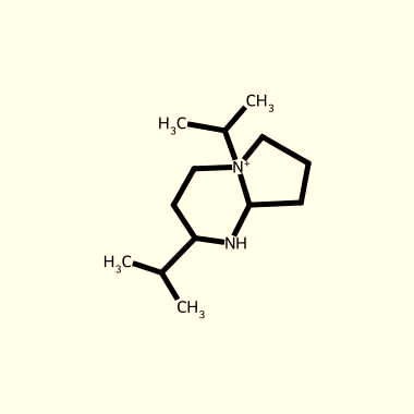 CC(C)C1CC[N+]2(C(C)C)CCCC2N1